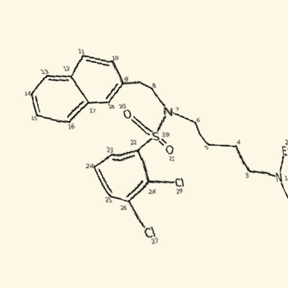 CCN(CC)CCCCN(Cc1ccc2ccccc2c1)S(=O)(=O)c1cccc(Cl)c1Cl